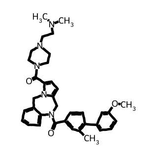 COc1cccc(-c2ccc(C(=O)N3Cc4ccc(C(=O)N5CCN(CCN(C)C)CC5)n4Cc4ccccc43)cc2C)c1